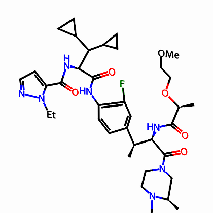 CCn1nccc1C(=O)N[C@H](C(=O)Nc1ccc([C@H](C)[C@@H](NC(=O)[C@H](C)OCCOC)C(=O)N2CCN(C)[C@H](C)C2)cc1F)C(C1CC1)C1CC1